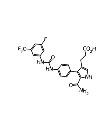 NC(=O)c1[nH]cc(CCC(=O)O)c1-c1ccc(NC(=O)Nc2cc(F)cc(C(F)(F)F)c2)cc1